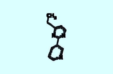 CCc1ccnc(-c2cccnc2)n1